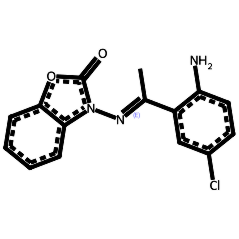 C/C(=N\n1c(=O)oc2ccccc21)c1cc(Cl)ccc1N